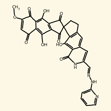 COC1=CC(=O)c2c(O)c3c(c(O)c2C1=O)C(=O)C1(CCc2cc4cc(C=NNc5ccccn5)[nH]c(=O)c4c(O)c21)C3=O